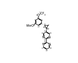 COc1cc(OC(F)(F)F)cc([C@@H]2C[C@H]2c2cnc(-c3ncccn3)nc2)c1